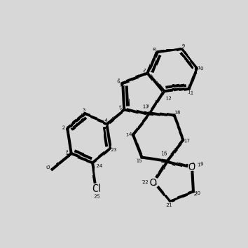 Cc1ccc(C2=Cc3ccccc3C23CCC2(CC3)OCCO2)cc1Cl